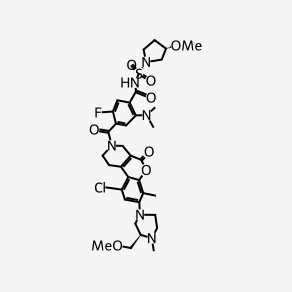 COC[C@H]1CN(c2cc(Cl)c3c4c(c(=O)oc3c2C)CN(C(=O)c2cc(N(C)C)c(C(=O)NS(=O)(=O)N3CC[C@H](OC)C3)cc2F)CC4)CCN1C